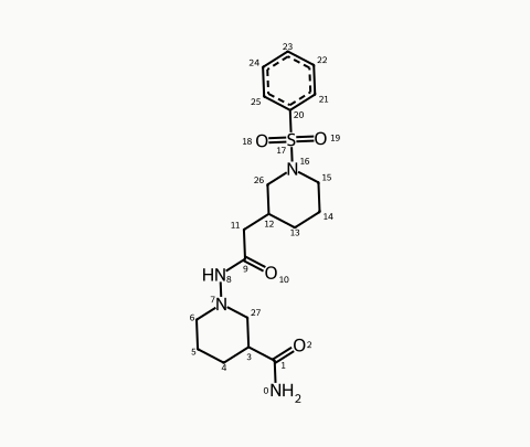 NC(=O)C1CCCN(NC(=O)CC2CCCN(S(=O)(=O)c3ccccc3)C2)C1